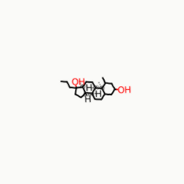 CCCC1(O)CC[C@H]2[C@@H]3CCC4CC(O)CC(C)[C@]4(C)[C@@H]3CC[C@@]21C